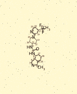 Cc1nccc2c(NC(=O)NC3CCN(c4cc(C(C)(F)F)ccn4)CC3)cccc12